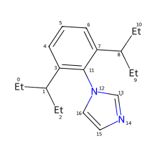 CCC(CC)c1cccc(C(CC)CC)c1-n1[c]ncc1